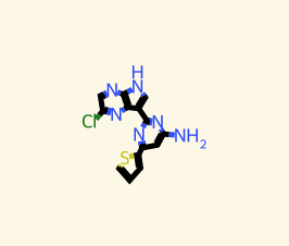 Nc1cc(-c2cccs2)nc(-c2c[nH]c3ncc(Cl)nc23)n1